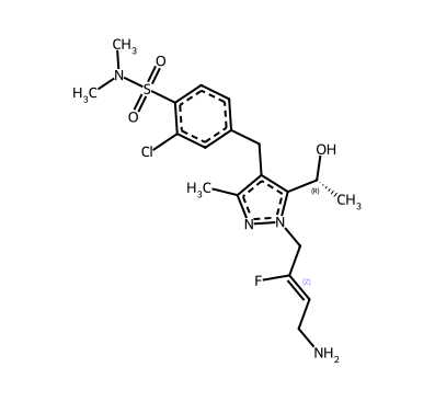 Cc1nn(C/C(F)=C/CN)c([C@@H](C)O)c1Cc1ccc(S(=O)(=O)N(C)C)c(Cl)c1